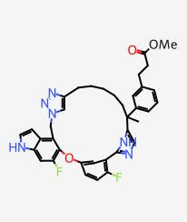 COC(=O)CCc1cccc(C2(C)CCCCCc3cn(nn3)Cc3c(c(F)cc4[nH]ccc34)Oc3ccc(F)c(c3)-c3ncc2[nH]3)c1